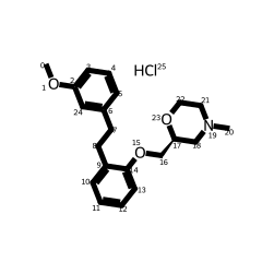 COc1cccc(CCc2ccccc2OC[C@@H]2CN(C)CCO2)c1.Cl